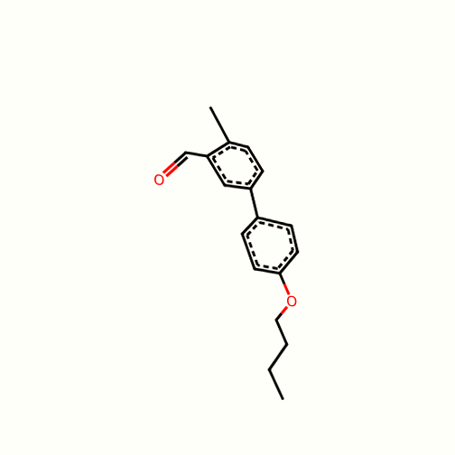 CCCCOc1ccc(-c2ccc(C)c(C=O)c2)cc1